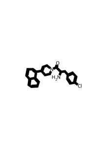 NC(Cc1ccc(Cl)cc1)C(=O)N1CC=C(c2cccc3ccccc23)CC1